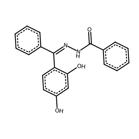 O=C(NN=C(c1ccccc1)c1ccc(O)cc1O)c1ccccc1